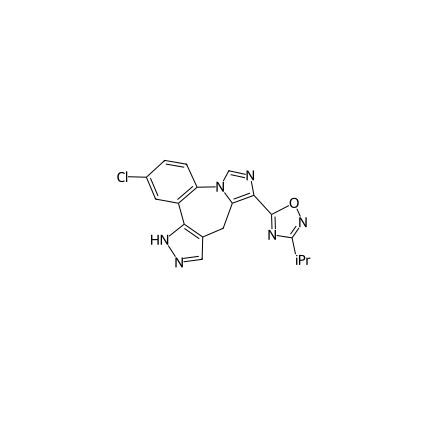 CC(C)c1noc(-c2ncn3c2Cc2cn[nH]c2-c2cc(Cl)ccc2-3)n1